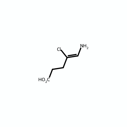 NC=C(Cl)CCC(=O)O